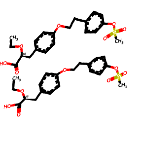 CCO[C@@H](Cc1ccc(OCCc2ccc(OS(C)(=O)=O)cc2)cc1)C(=O)O.CCO[C@@H](Cc1ccc(OCCc2ccc(OS(C)(=O)=O)cc2)cc1)C(=O)O